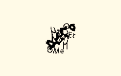 CCNC(=O)N1CCc2c([nH]c3ccc(OC)cc23)C12CCN(CCOc1ccccc1)C2